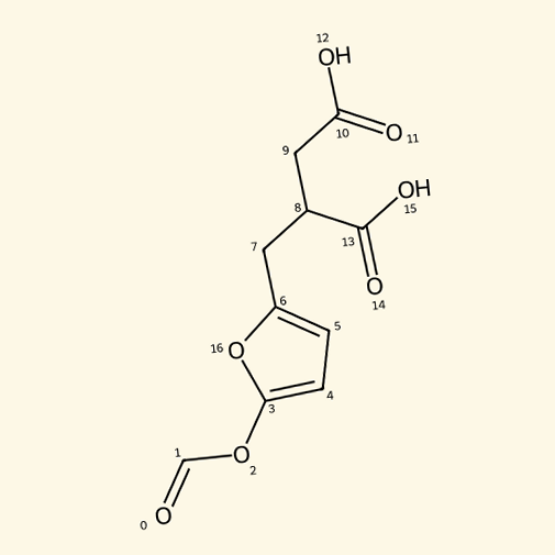 O=COc1ccc(CC(CC(=O)O)C(=O)O)o1